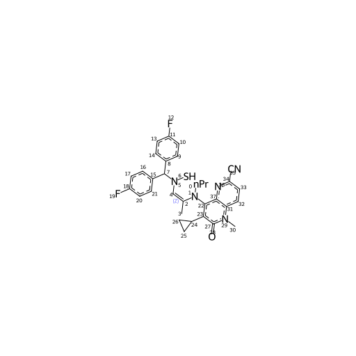 CCCN(/C(C)=C\N(S)C(c1ccc(F)cc1)c1ccc(F)cc1)c1c(C2CC2)c(=O)n(C)c2ccc(C#N)nc12